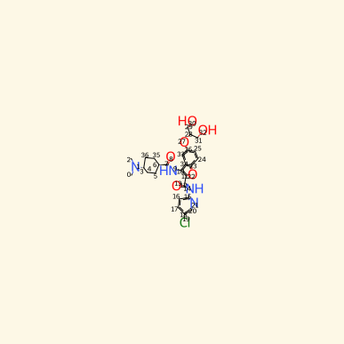 CN(C)[C@H]1CC[C@H](C(=O)Nc2c(C(=O)Nc3ccc(Cl)cn3)oc3ccc(OC(CO)CO)cc23)CC1